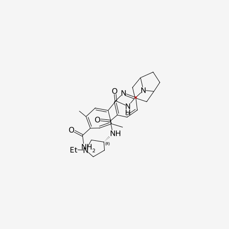 CCN1CC[C@@H](NC(=O)c2ccc(N3C4CCC3CC(NC(=O)c3cc(C)c(C(N)=O)cc3C)C4)nc2)C1